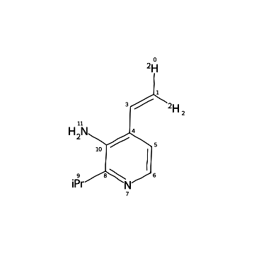 [2H]C([2H])=Cc1ccnc(C(C)C)c1N